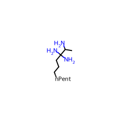 CCCCCCCCC(N)(N)C(C)N